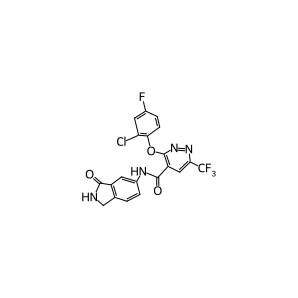 O=C1NCc2ccc(NC(=O)c3cc(C(F)(F)F)nnc3Oc3ccc(F)cc3Cl)cc21